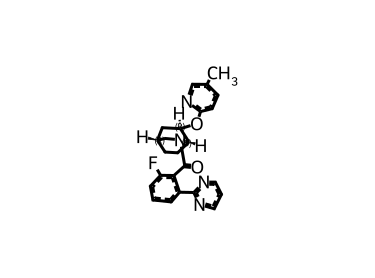 Cc1ccc(O[C@@H]2C[C@H]3CC[C@@H]2N(C(=O)c2c(F)cccc2-c2ncccn2)C3)nc1